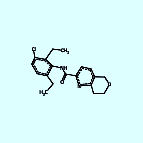 CCc1ccc(Cl)c(CC)c1NC(=O)c1ccc2c(n1)CCOC2